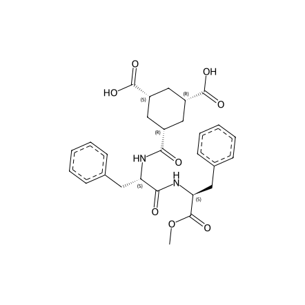 COC(=O)[C@H](Cc1ccccc1)NC(=O)[C@H](Cc1ccccc1)NC(=O)[C@@H]1C[C@H](C(=O)O)C[C@H](C(=O)O)C1